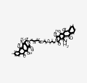 Nc1c2c(=O)c3ccccc3c(=O)c2c(O)c2c(=O)n(CCCOCCOCCCn3c(=O)c4c(N)c5c(=O)c6ccccc6c(=O)c5c(O)c4c3=O)c(=O)c12